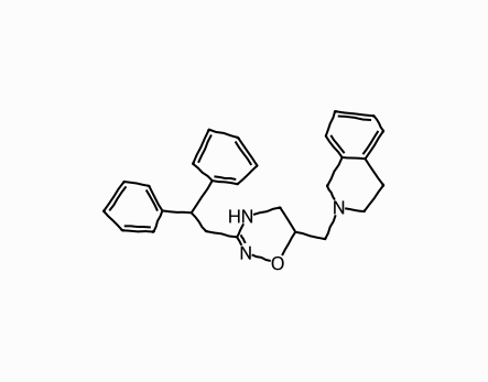 c1ccc(C(CC2=NOC(CN3CCc4ccccc4C3)CN2)c2ccccc2)cc1